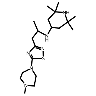 CC(Cc1nsc(N2CCN(C)CC2)n1)NC1CC(C)(C)NC(C)(C)C1